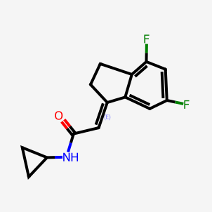 O=C(/C=C1\CCc2c(F)cc(F)cc21)NC1CC1